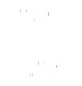 CCOC(=O)C(C)(C)CCCC/C=C/CCCCCC(C)(C)C(=O)OCC